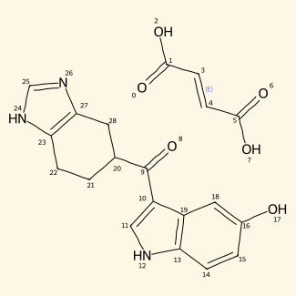 O=C(O)/C=C/C(=O)O.O=C(c1c[nH]c2ccc(O)cc12)C1CCc2[nH]cnc2C1